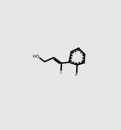 OCC=C(I)c1ccccc1F